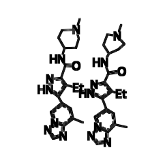 CCc1c(C(=O)NC2CCN(C)CC2)n[nH]c1-c1cc(C)c2ncnn2c1.CCc1c(C(=O)NC2CCN(C)CC2)n[nH]c1-c1cc(C)c2ncnn2c1